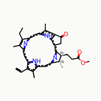 C=Cc1c(C)c2cc3nc(c4c5[nH]c(cc6nc(cc1[nH]2)C(C)=C6CC)c(C)c5C(=O)C4)[C@@H](CCC(=O)OC)[C@@H]3C